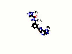 C[C@H](NC(=O)c1cncn1C)c1cccc(-c2nc3c(ncc4ncn(C)c43)s2)c1